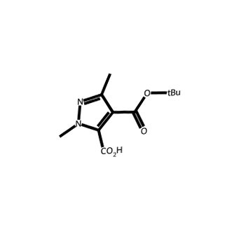 Cc1nn(C)c(C(=O)O)c1C(=O)OC(C)(C)C